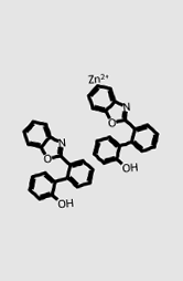 Oc1ccccc1-c1ccccc1-c1nc2ccccc2o1.Oc1ccccc1-c1ccccc1-c1nc2ccccc2o1.[Zn+2]